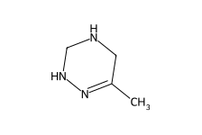 CC1=NNCNC1